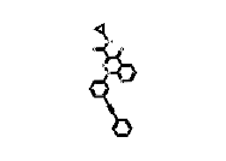 O=C(NC1CC1)c1nn(-c2cccc(C#Cc3ccccc3)c2)c2ncccc2c1=O